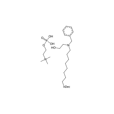 CCCCCCCCCCCCCCCCCCN(CCO)Cc1ccccc1.C[N+](C)(C)CCOP(=O)(O)O